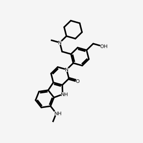 CNc1cccc2c1[nH]c1c(=O)n(-c3ccc(CO)cc3CN(C)C3CCCCC3)ccc12